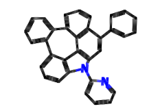 c1ccc(-c2cc3c4c5c(cccc25)-c2ccccc2-c2cccc(c24)n3-c2ccccn2)cc1